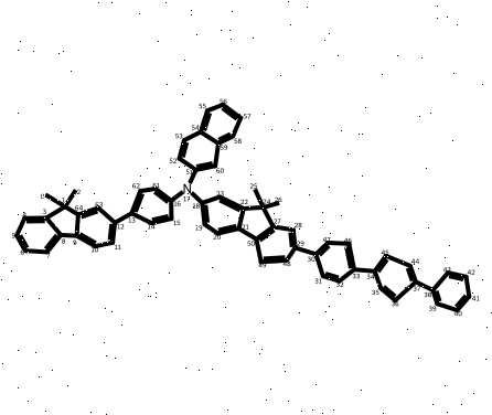 CC1(C)c2ccccc2-c2ccc(-c3ccc(N(c4ccc5c(c4)C(C)(C)c4cc(-c6ccc(-c7ccc(-c8ccccc8)cc7)cc6)ccc4-5)c4ccc5ccccc5c4)cc3)cc21